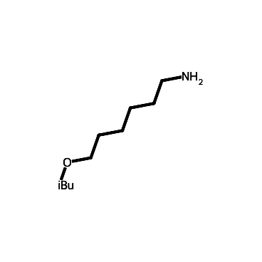 CCC(C)OCCCCCCN